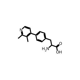 Cc1nccc(-c2ccc(CC(N)C(=O)O)cc2)c1C